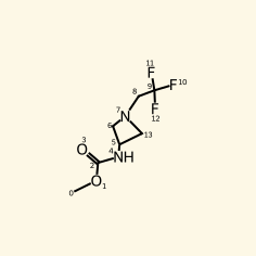 COC(=O)NC1CN(CC(F)(F)F)C1